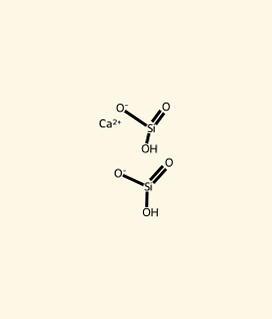 O=[Si]([O-])O.O=[Si]([O-])O.[Ca+2]